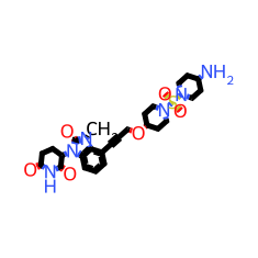 Cn1c(=O)n(C2CCC(=O)NC2=O)c2cccc(C#CCOC3CCN(S(=O)(=O)N4CCC(N)CC4)CC3)c21